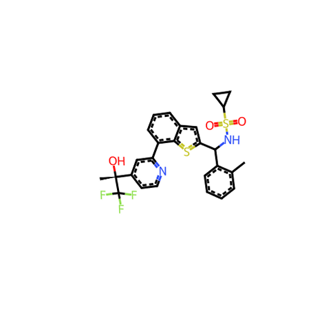 Cc1ccccc1C(NS(=O)(=O)C1CC1)c1cc2cccc(-c3cc([C@@](C)(O)C(F)(F)F)ccn3)c2s1